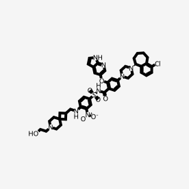 O=C(NS(=O)(=O)c1ccc(NCC2CC3(CCN(CCO)CC3)C2)c([N+](=O)[O-])c1)c1ccc(N2CCN([C@@H]3CCCCc4c(Cl)cccc43)CC2)cc1Oc1cnc2[nH]ccc2c1